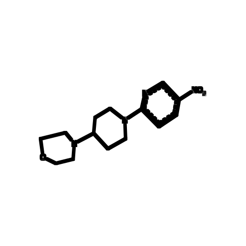 O=[N+]([O-])c1ccc(N2CCC(N3CCOCC3)CC2)nc1